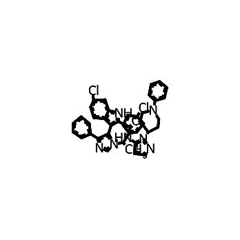 CC(c1ccc(Cl)cc1)n1cnc(-c2ccccc2)c1-c1c(C(=O)Nc2ccnn2C2CCN(c3ccccc3)CC2)[nH]c2cc(Cl)ccc12